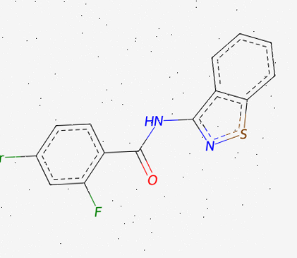 O=C(Nc1nsc2ccccc12)c1ccc(Br)cc1F